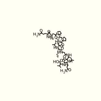 CSCC[C@H](NC(=O)[C@H](CC(C)C)NC(=O)[C@@H]1CCCN1C(=O)[C@@H]1CCCN1C(=O)CNC(=O)[C@@H](N)CCC(N)=O)C(=O)NCC(=O)N[C@@H](CC(C)C)C(=O)N[C@@H](CCC(N)=O)C(=O)N[C@H](C(=O)O)C(C)C